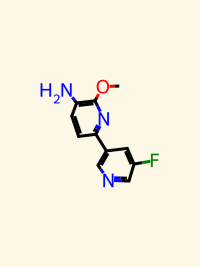 COc1nc(-c2cncc(F)c2)ccc1N